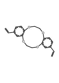 C=Cc1ccc2c(c1)OCCOc1cc(C=C)ccc1OCCO2